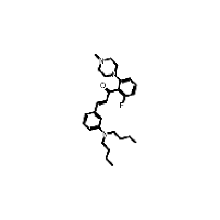 CCCCN(CCCC)c1cccc(C=CC(=O)c2c(F)cccc2N2CCN(C)CC2)c1